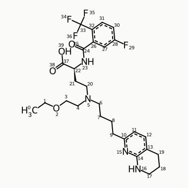 CCOCCN(CCCCc1ccc2c(n1)NCCC2)CC[C@H](NC(=O)c1cc(F)ccc1C(F)(F)F)C(=O)O